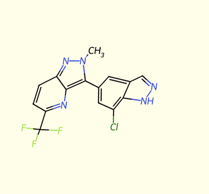 Cn1nc2ccc(C(F)(F)F)nc2c1-c1cc(Cl)c2[nH]ncc2c1